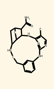 NC(=O)C1C2CC3NCCc4cccc(c4)Nc4ncc(F)c(n4)NC1C3C2